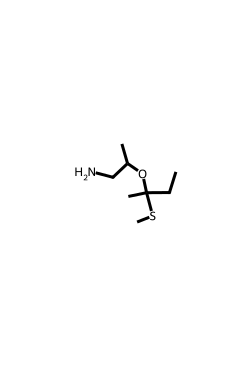 CCC(C)(OC(C)CN)SC